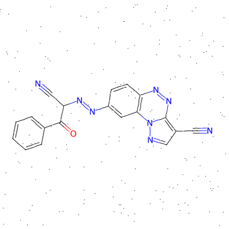 N#Cc1cnn2c1nnc1ccc(/N=N/C(C#N)C(=O)c3ccccc3)cc12